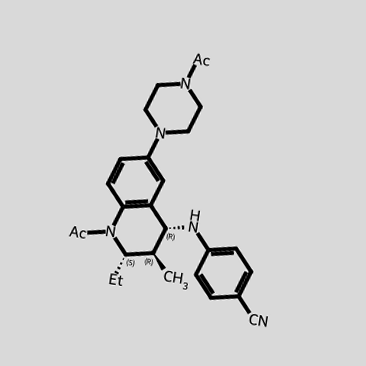 CC[C@H]1[C@H](C)[C@@H](Nc2ccc(C#N)cc2)c2cc(N3CCN(C(C)=O)CC3)ccc2N1C(C)=O